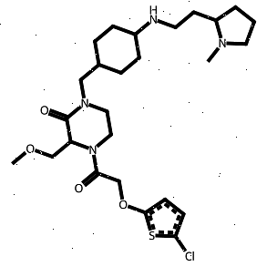 COCC1C(=O)N(CC2CCC(NCCC3CCCN3C)CC2)CCN1C(=O)COc1ccc(Cl)s1